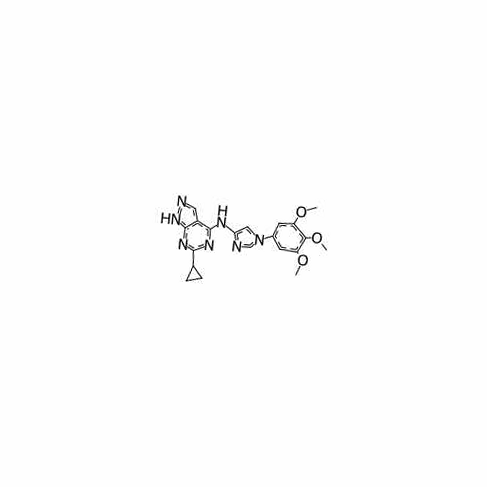 COc1cc(-n2cnc(Nc3nc(C4CC4)nc4[nH]ncc34)c2)cc(OC)c1OC